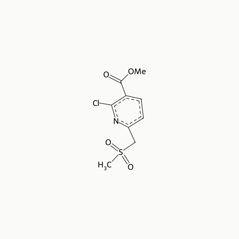 COC(=O)c1ccc(CS(C)(=O)=O)nc1Cl